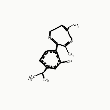 CC1=NC(N)=CCN=C1c1ccc(C(C)C)cc1O